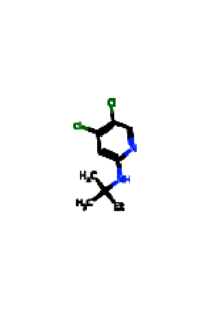 CCC(C)(C)Nc1cc(Cl)c(Cl)cn1